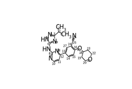 CC(C)c1n[nH]c(Nc2nccc(-c3ccc(OC4CCOCC4)c(C#N)c3)n2)n1